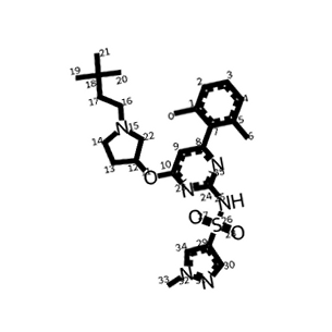 Cc1cccc(C)c1-c1cc(OC2CCN(CCC(C)(C)C)C2)nc(NS(=O)(=O)c2cnn(C)c2)n1